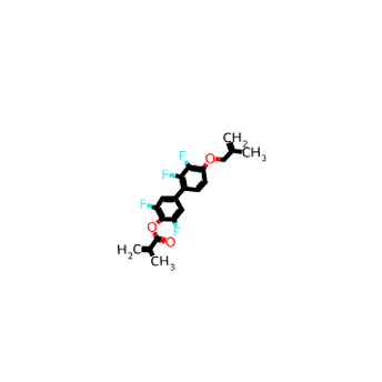 C=C(C)COc1ccc(-c2cc(F)c(OC(=O)C(=C)C)c(F)c2)c(F)c1F